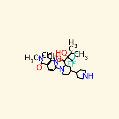 Cc1nc(N2CCC(C3CCNCC3)CC2C(=O)[C@](O)(C(C)C)C(F)(F)F)ccc1C(=O)N(C)C